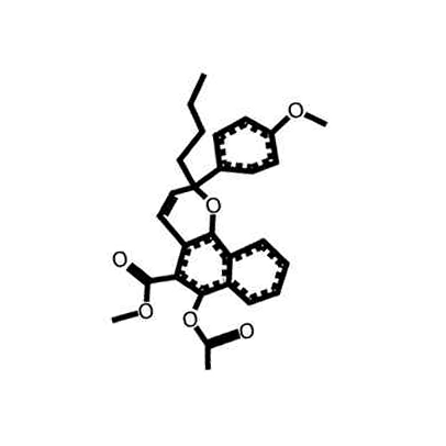 CCCCC1(c2ccc(OC)cc2)C=Cc2c(C(=O)OC)c(OC(C)=O)c3ccccc3c2O1